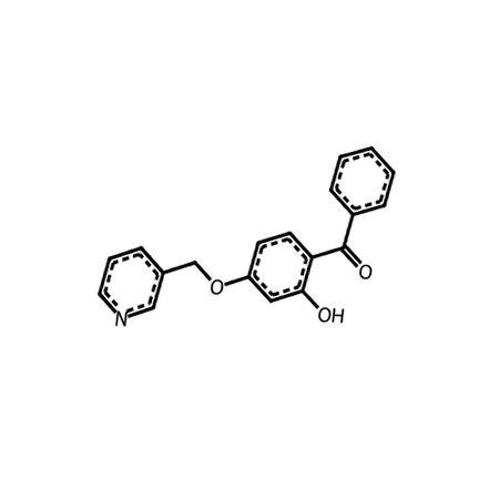 O=C(c1ccccc1)c1ccc(OCc2cccnc2)cc1O